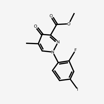 COC(=O)c1nn(-c2ccc(I)cc2F)cc(C)c1=O